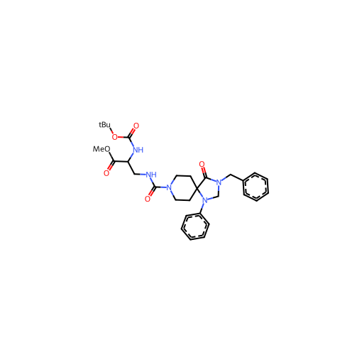 COC(=O)C(CNC(=O)N1CCC2(CC1)C(=O)N(Cc1ccccc1)CN2c1ccccc1)NC(=O)OC(C)(C)C